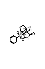 O=C1SC(=O)[C@]2(S(=O)(=O)c3ccccc3)[C@H]3CC[C@H](O3)[C@H]12